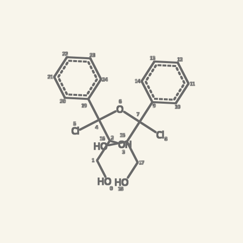 OCC(O)C(Cl)(OC(Cl)(c1ccccc1)C(O)CO)c1ccccc1